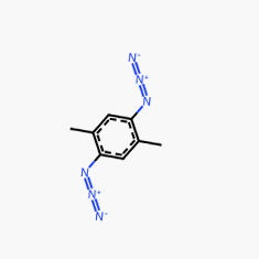 Cc1cc(N=[N+]=[N-])c(C)cc1N=[N+]=[N-]